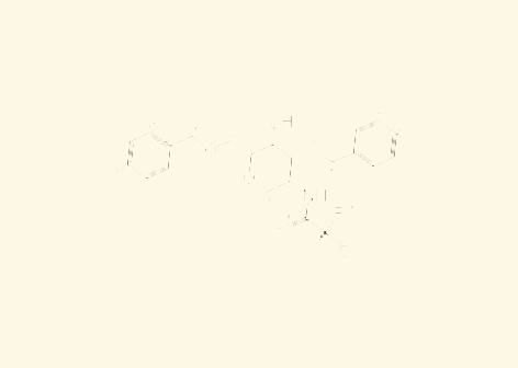 C[C@@H]1[C@H](OCc2ccccc2)[C@H](NC(=O)C(F)(F)F)CO[C@@H]1COCc1ccccc1